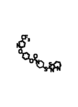 O=C(Oc1ccc(Oc2ccc(C(F)(F)F)cn2)cc1)N1CCC(Sc2nc3ncccc3s2)CC1